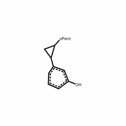 CCCCCC1CC1c1cccc(O)c1